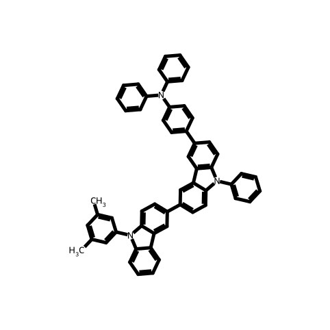 Cc1cc(C)cc(-n2c3ccccc3c3cc(-c4ccc5c(c4)c4cc(-c6ccc(N(c7ccccc7)c7ccccc7)cc6)ccc4n5-c4ccccc4)ccc32)c1